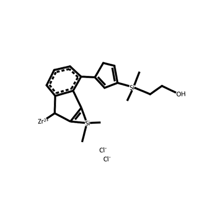 C[Si](C)(CCO)C1=CCC(c2cccc3c2C2=C([CH]3[Zr+2])[Si]2(C)C)=C1.[Cl-].[Cl-]